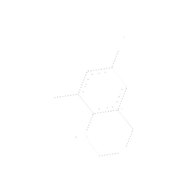 [CH2]c1cc(F)cc2c1OCOC2